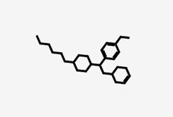 CCCCCCC1CCC(C(CC2CC=CCC2)c2ccc(CC)cc2)CC1